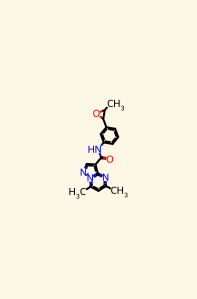 Cc1cc(C)n2ncc(C(=O)Nc3cccc(C4OC4C)c3)c2n1